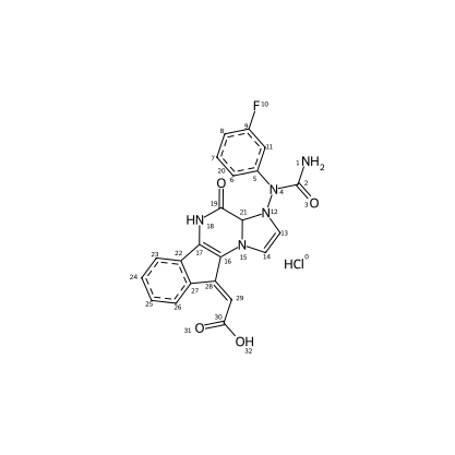 Cl.NC(=O)N(c1cccc(F)c1)N1C=CN2C3=C(NC(=O)C21)c1ccccc1C3=CC(=O)O